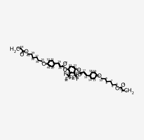 C=CC(=O)OCCCCCCOc1ccc(/C=C/C(=O)Oc2ccc(OC(=O)/C=C/c3ccc(OCCCCCCOC(=O)C=C)cc3)c(C(F)(F)F)c2C(F)(F)F)cc1